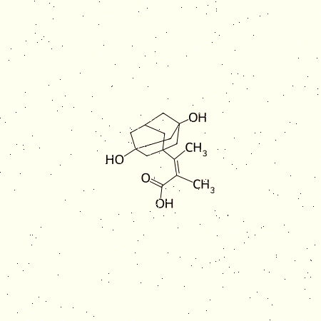 CC(C(=O)O)=C(C)C12CC3CC(O)(CC(O)(C3)C1)C2